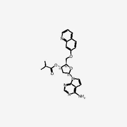 CC(C)C(=O)O[C@H]1C[C@H](n2ccc3c(N)ncnc32)O[C@@H]1COc1ccc2cccnc2c1